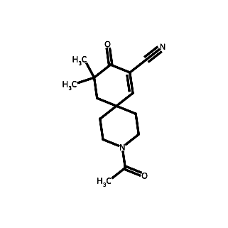 CC(=O)N1CCC2(C=C(C#N)C(=O)C(C)(C)C2)CC1